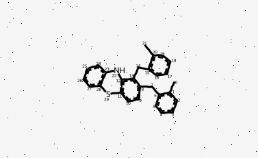 Cc1ccccc1Cc1ccc2c(c1Cc1ccccc1C)Nc1ccccc1S2